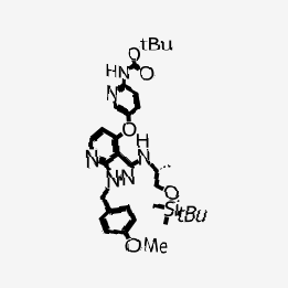 COc1ccc(Cn2nc(N[C@H](C)CO[Si](C)(C)C(C)(C)C)c3c(Oc4ccc(NC(=O)OC(C)(C)C)nc4)ccnc32)cc1